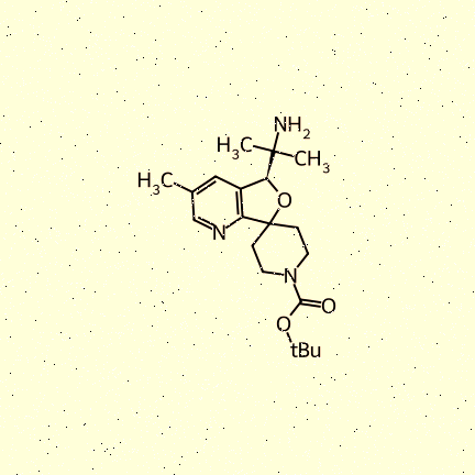 Cc1cnc2c(c1)[C@@H](C(C)(C)N)OC21CCN(C(=O)OC(C)(C)C)CC1